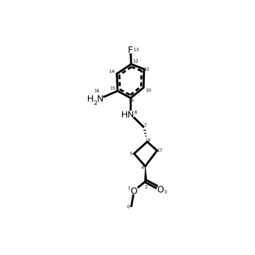 COC(=O)[C@H]1C[C@H](CNc2ccc(F)cc2N)C1